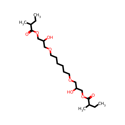 CCC(C)C(=O)OCC(O)COCCCCCCOCC(O)COC(=O)C(C)CC